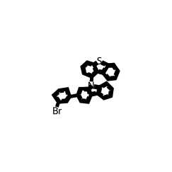 Brc1cccc(-c2ccc3c4ccccc4n(-c4cccc5sc6ccccc6c45)c3c2)c1